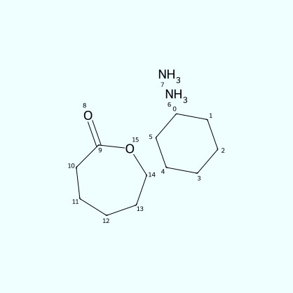 C1CCCCC1.N.N.O=C1CCCCCO1